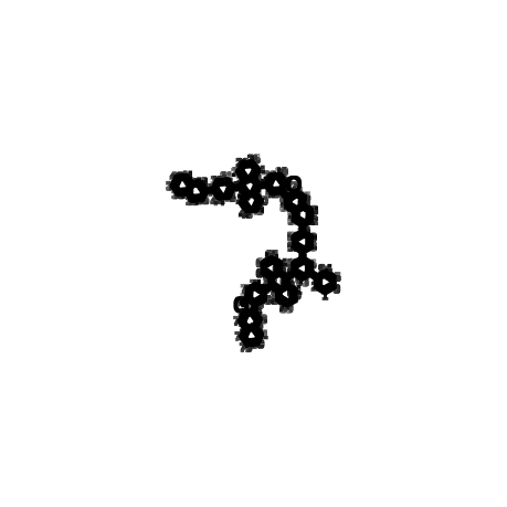 c1ccc(-c2cc(-c3ccc(-c4ccc5cc6oc7ccc(-c8c9ccccc9c(-c9ccc(-c%10ccc%11ccccc%11c%10)cc9)c9ccccc89)cc7c6cc5c4)cc3)cc(-c3c4ccccc4c(-c4ccc5oc6cc7ccccc7cc6c5c4)c4ccccc34)c2)cc1